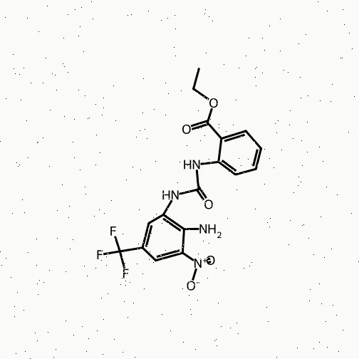 CCOC(=O)c1ccccc1NC(=O)Nc1cc(C(F)(F)F)cc([N+](=O)[O-])c1N